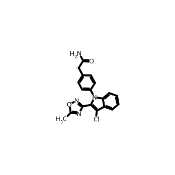 Cc1nc(-c2c(Cl)c3ccccc3n2-c2ccc([CH]C(N)=O)cc2)no1